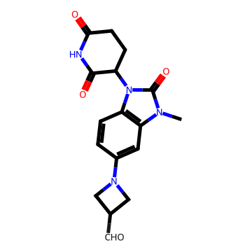 Cn1c(=O)n(C2CCC(=O)NC2=O)c2ccc(N3CC(C=O)C3)cc21